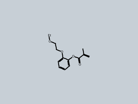 C=C(C)C(=O)Oc1ccccc1OCCOCC